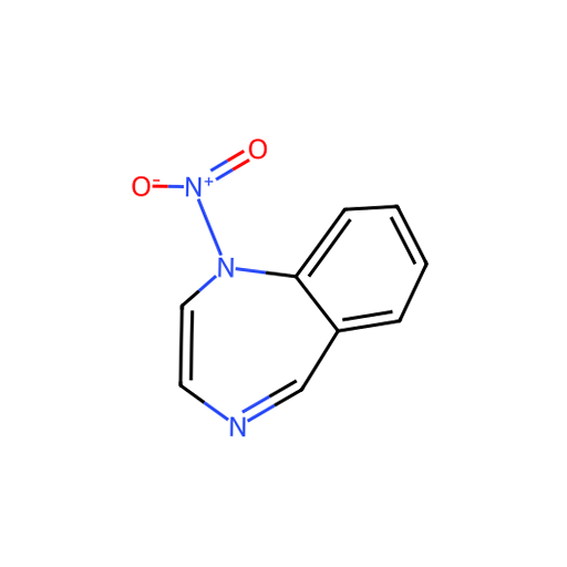 O=[N+]([O-])N1C=CN=Cc2ccccc21